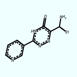 CCC(N)c1nnc(-c2cccnc2)[nH]c1=O